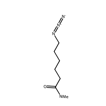 CNC(=O)CCCCCN=[N+]=[N-]